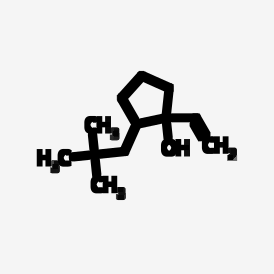 C=CC1(O)CCCC1CC(C)(C)C